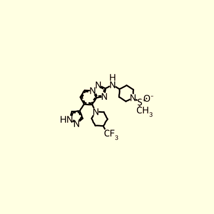 C[S+]([O-])N1CCC(Nc2nc3c(N4CCC(C(F)(F)F)CC4)c(-c4cn[nH]c4)ccn3n2)CC1